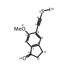 COc1cc2c(cc1C#CSI)CCC2=O